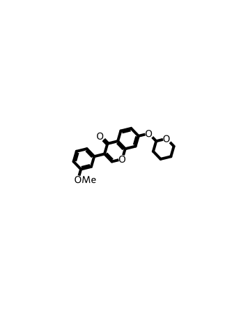 COc1cccc(-c2coc3cc(OC4CCCCO4)ccc3c2=O)c1